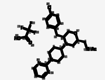 CC(=O)NC[C@H]1CN(C2CCN(c3ncccn3)CC2)[C@@H](Cc2ccc(Cl)cc2)CO1.O=C(O)C(F)(F)F